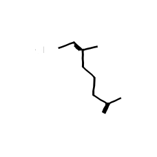 C=C(C)CCCC(C)=CC=O